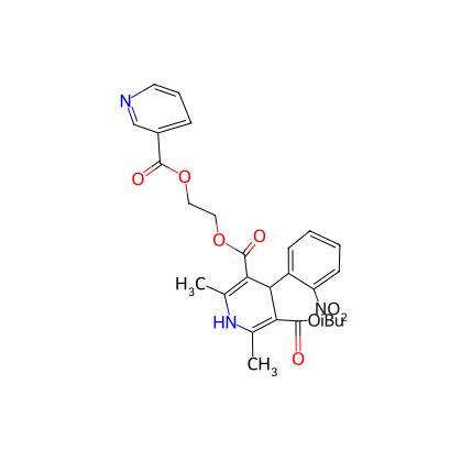 CC1=C(C(=O)OCCOC(=O)c2cccnc2)C(c2ccccc2[N+](=O)[O-])C(C(=O)OCC(C)C)=C(C)N1